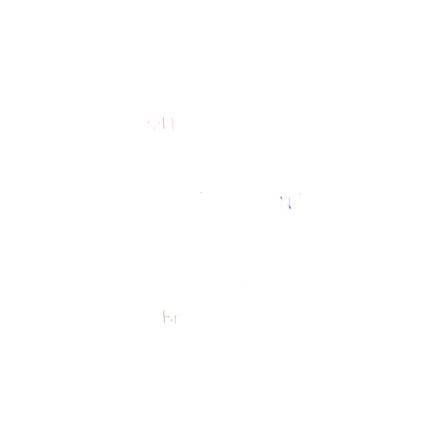 OCc1cnccc1CBr